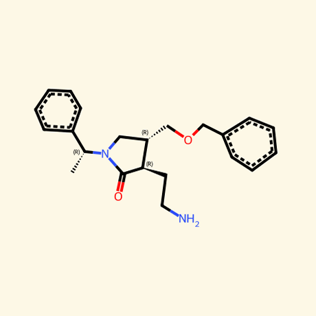 C[C@H](c1ccccc1)N1C[C@H](COCc2ccccc2)[C@@H](CCN)C1=O